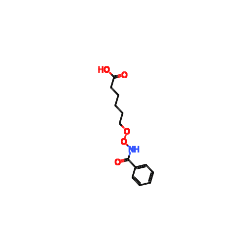 O=C(O)CCCCCOONC(=O)c1ccccc1